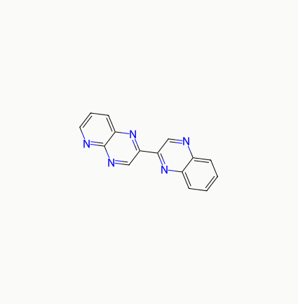 c1ccc2nc(-c3cnc4ncccc4n3)cnc2c1